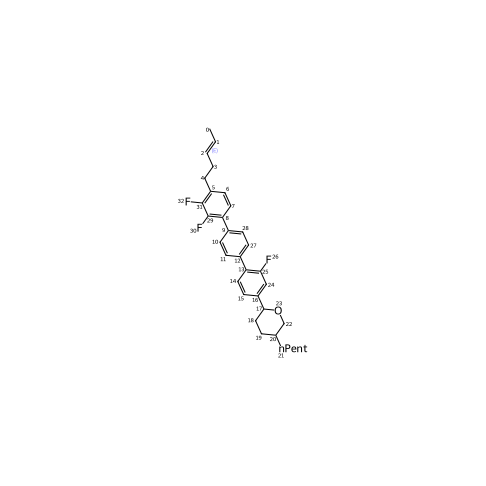 C/C=C/CCc1ccc(-c2ccc(-c3ccc(C4CCC(CCCCC)CO4)cc3F)cc2)c(F)c1F